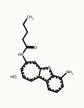 CCCCC(=O)Nc1cccc2c3cccc(N)c3nc-2c1.Cl